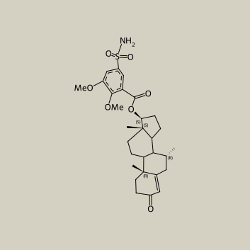 COc1cc(S(N)(=O)=O)cc(C(=O)O[C@H]2CCC3C4C(CC[C@@]32C)[C@@]2(C)CCC(=O)C=C2C[C@H]4C)c1OC